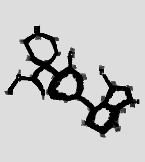 COC(=O)C1(c2ccc(-c3ccnc4[nH]cc(F)c34)cc2Cl)CCNCC1